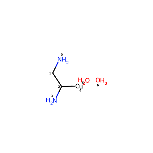 NC[CH](N)[Cu].O.O